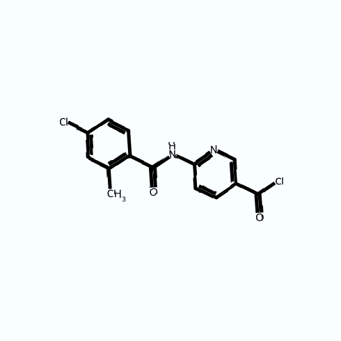 Cc1cc(Cl)ccc1C(=O)Nc1ccc(C(=O)Cl)cn1